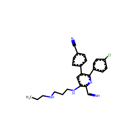 CCCNCCCNc1cc(-c2ccc(C#N)cc2)c(-c2ccc(Cl)cc2)nc1C=N